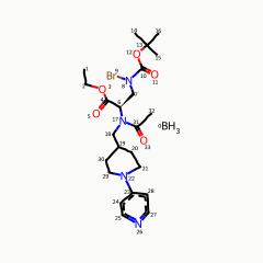 B.CCOC(=O)[C@@H](CN(Br)C(=O)OC(C)(C)C)N(CC1CCN(c2ccncc2)CC1)C(C)=O